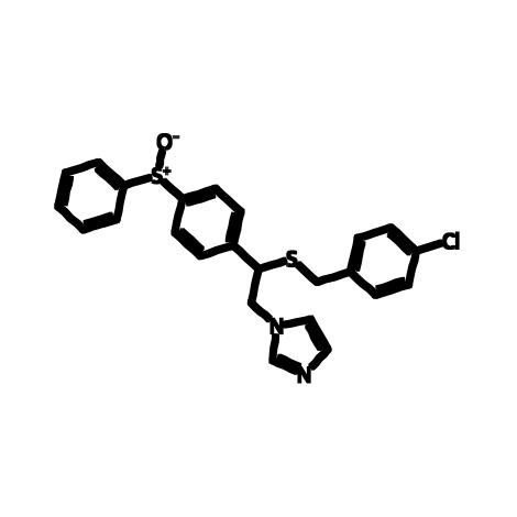 [O-][S+](c1ccccc1)c1ccc(C(Cn2ccnc2)SCc2ccc(Cl)cc2)cc1